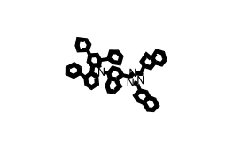 c1ccc(-c2cc(-c3ccccc3)c3c(c2)c2c(-c4ccccc4)cccc2n3-c2ccc(-c3nc(-c4ccc5ccccc5c4)nc(-c4ccc5ccccc5c4)n3)c3ccccc23)cc1